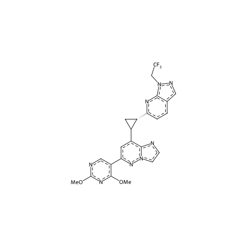 COc1ncc(-c2cc(C3C[C@@H]3c3ccc4cnn(CC(F)(F)F)c4n3)c3nccn3n2)c(OC)n1